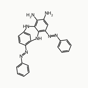 Nc1cc(N=Nc2ccccc2)c2c(c1N)Nc1ccc(N=Nc3ccccc3)c(c1)N2